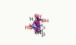 CON(C)C(=O)C(/C=C1\CN=C(/C=C/C=C/C=C/C=C2/N(CCCSO)c3ccc(SO)cc3C2(C)c2ccc(C(=O)ON3C(=O)CCC3=O)cc2)C1(C)C)=C/NCCCSO